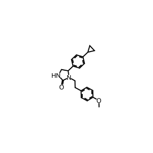 COc1ccc(CCN2C(=O)NCC2c2ccc(C3CC3)cc2)cc1